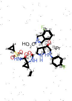 C=C[C@@H]1C[C@]1(NC(=O)[C@@H]1C[C@](C(=O)[C@@H](Nc2ccc(F)cc2)C(C)C)(C2c3cccc(F)c3CN2C(=O)O)CN1)C(=O)NS(=O)(=O)C1CC1